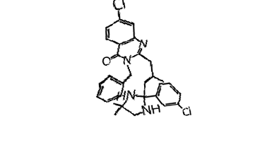 CC(Cc1nc2cc(Cl)ccc2c(=O)n1Cc1ccccc1)CC1(c2cccc(Cl)c2)NCC(C)(C)N1